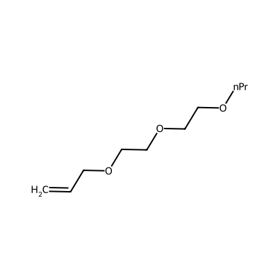 C=CCOCCOCCOCCC